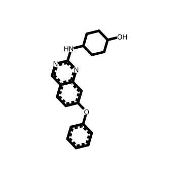 OC1CCC(Nc2ncc3ccc(Oc4ccccc4)cc3n2)CC1